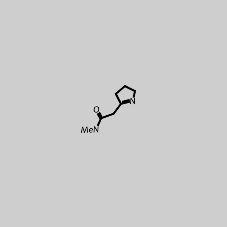 CNC(=O)CC1=NCCC1